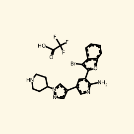 Nc1ncc(-c2cnn(C3CCNCC3)c2)cc1-c1oc2ccccc2c1Br.O=C(O)C(F)(F)F